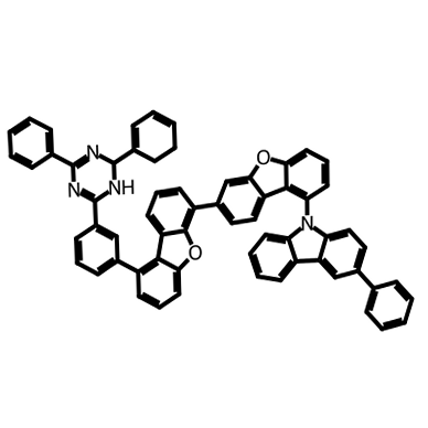 C1=CCCC(C2N=C(c3ccccc3)N=C(c3cccc(-c4cccc5oc6c(-c7ccc8c(c7)oc7cccc(-n9c%10ccccc%10c%10cc(-c%11ccccc%11)ccc%109)c78)cccc6c45)c3)N2)=C1